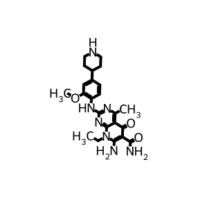 CCn1c(N)c(C(N)=O)c(=O)c2c(C)nc(Nc3ccc(C4CCNCC4)cc3OC)nc21